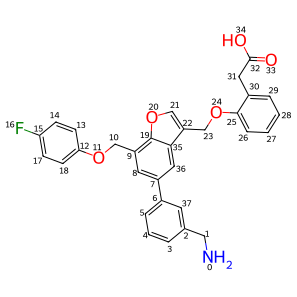 NCc1cccc(-c2cc(COc3ccc(F)cc3)c3occ(COc4ccccc4CC(=O)O)c3c2)c1